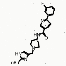 CCCCc1nc(CN2CCC(NC(=O)c3ccc(-c4cccc(F)c4)nc3)CC2)c[nH]1